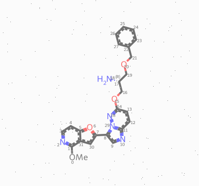 COc1nccc2oc(-c3cnc4ccc(OC[C@H](N)COCc5ccccc5)nn34)cc12